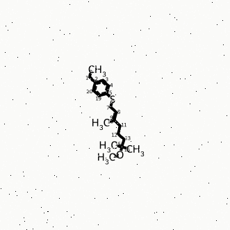 CCc1ccc(SC/C=C(\C)CCCC(C)(C)OC)cc1